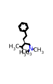 CC(C)[C@@H](CCc1ccccc1)CN(C)C